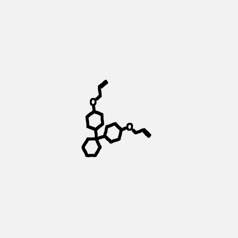 C=CCOC1CCC(C2(C3CCC(OCC=C)CC3)CCCCC2)CC1